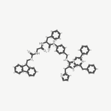 O=C(CNC(=O)OCC1c2ccccc2-c2ccccc21)NC(Cc1ccccc1)C(=O)Nc1ccc(COc2c(Cc3ccco3)nc3c(Cc4ccccc4)nc(-c4ccccc4)cn23)cc1